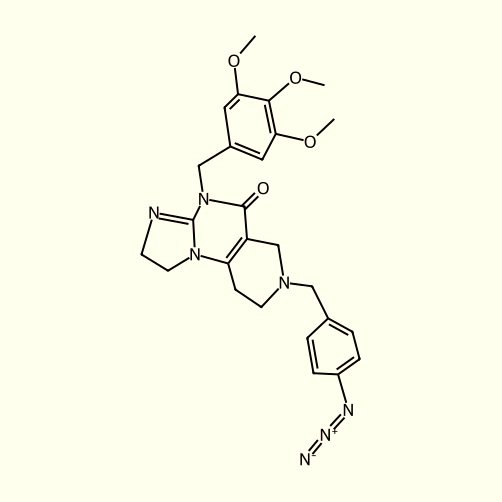 COc1cc(CN2C(=O)C3=C(CCN(Cc4ccc(N=[N+]=[N-])cc4)C3)N3CCN=C23)cc(OC)c1OC